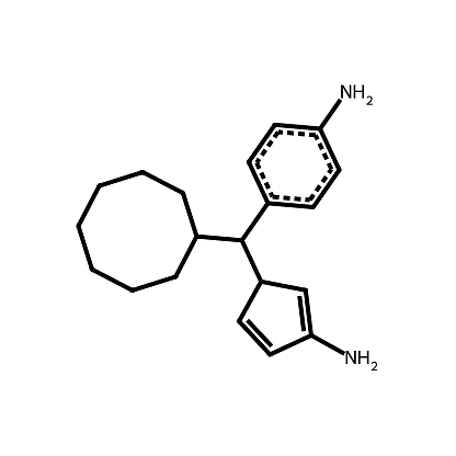 NC1=CC(C(c2ccc(N)cc2)C2CCCCCCC2)C=C1